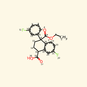 CCOC(=O)C1(c2cccc(F)c2)CCC(C(=O)O)c2cc(F)ccc21